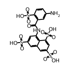 Nc1ccc(S(=O)(=O)O)c(C(=O)Nc2cc(S(=O)(=O)O)cc3cc(S(=O)(=O)O)cc(S(=O)(=O)O)c23)c1